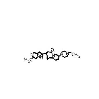 CCN1CCN(C2=CN3C(=O)\C=C(c4cc5cnc(C)cn5n4)/C=C/C=C/3C=C2)CC1